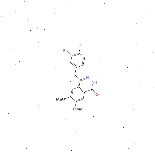 COc1cc2c(Cc3ccc(F)c(Br)c3)n[nH]c(=O)c2cc1OC